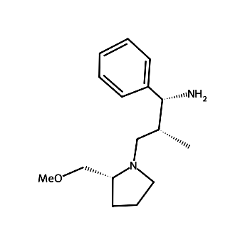 COC[C@H]1CCCN1C[C@@H](C)[C@@H](N)c1ccccc1